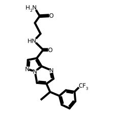 CC(c1cccc(C(F)(F)F)c1)c1cnc2c(C(=O)NCCC(N)=O)cnn2c1